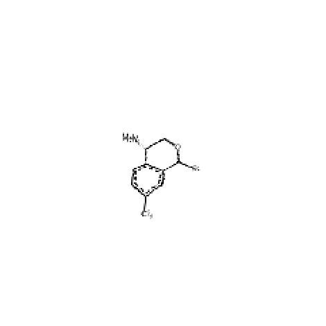 CCC1OC[C@@H](NC)c2ccc(C(F)(F)F)cc21